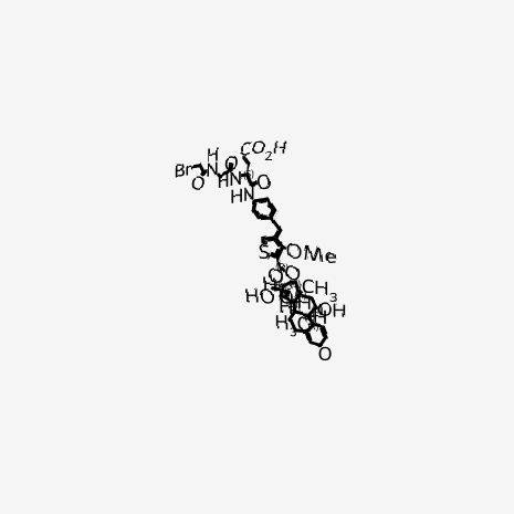 COc1c(Cc2ccc(NC(=O)[C@H](CCC(=O)O)NC(=O)CNC(=O)CBr)cc2)csc1[C@@H]1O[C@@H]2C[C@H]3[C@@H]4CCC5=CC(=O)C=C[C@]5(C)[C@H]4[C@@H](O)C[C@]3(C)[C@]2(C(=O)CO)O1